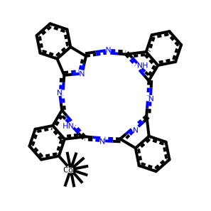 [CH3][Co]([CH3])([CH3])([CH3])([CH3])([CH3])([CH3])([CH3])[c]1cccc2c3nc4nc(nc5[nH]c(nc6nc(nc([nH]3)c12)-c1ccccc1-6)c1ccccc51)-c1ccccc1-4